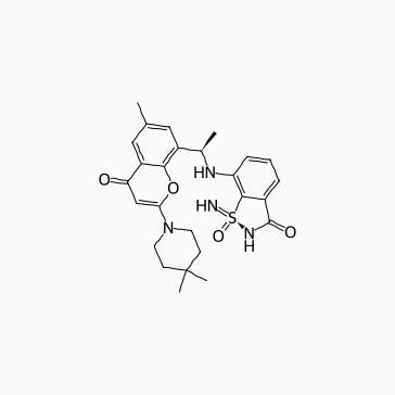 Cc1cc([C@@H](C)Nc2cccc3c2[S@@](=N)(=O)NC3=O)c2oc(N3CCC(C)(C)CC3)cc(=O)c2c1